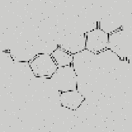 Cc1cc(-c2nc3cc(CO)ccc3n2CC2CCCO2)c[nH]c1=O